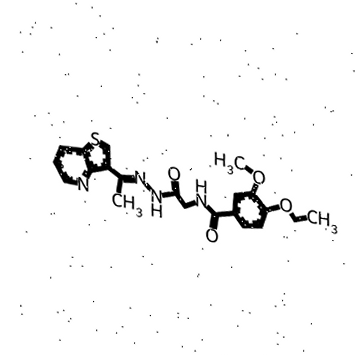 CCOc1ccc(C(=O)NCC(=O)N/N=C(\C)c2csc3cccnc23)cc1OC